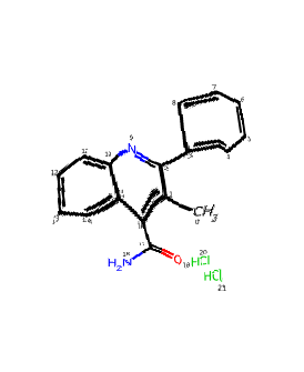 Cc1c(-c2ccccc2)nc2ccccc2c1C(N)=O.Cl.Cl